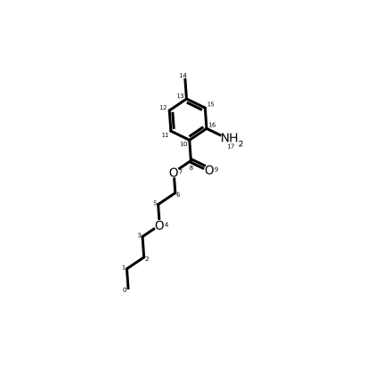 CCCCOCCOC(=O)c1ccc(C)cc1N